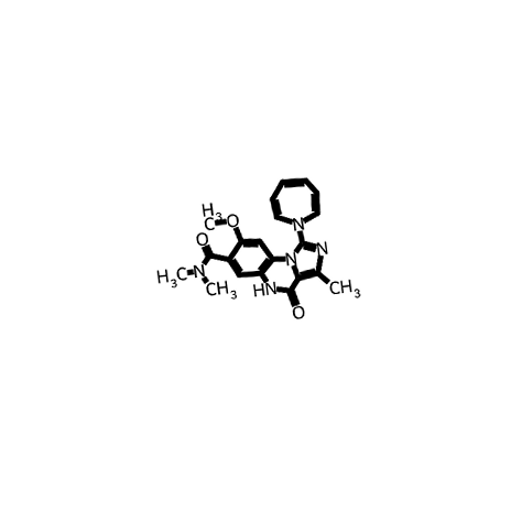 COc1cc2c(cc1C(=O)N(C)C)[nH]c(=O)c1c(C)nc(N3C=CC=CC=C3)n12